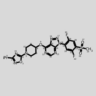 CC(C)c1noc(N2CCC(Oc3ncnc4c3nnn4-c3cc(F)c(S(C)(=O)=O)cc3F)CC2)n1